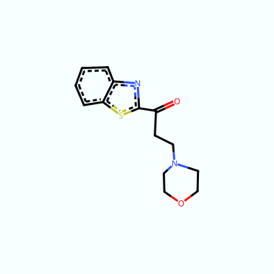 O=C(CCN1CCOCC1)c1nc2ccccc2s1